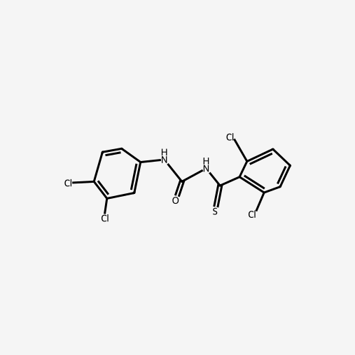 O=C(NC(=S)c1c(Cl)cccc1Cl)Nc1ccc(Cl)c(Cl)c1